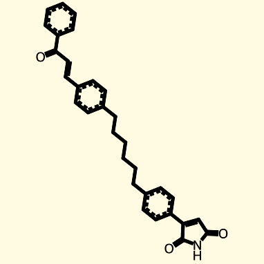 O=C1C=C(c2ccc(CCCCCCc3ccc(C=CC(=O)c4ccccc4)cc3)cc2)C(=O)N1